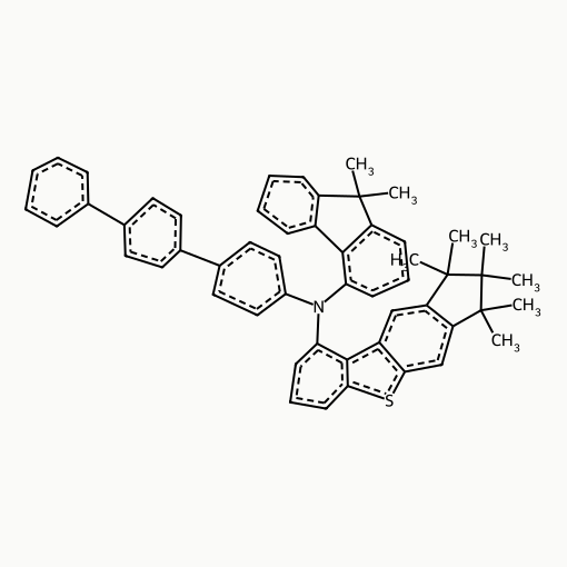 CC1(C)c2ccccc2-c2c(N(c3ccc(-c4ccc(-c5ccccc5)cc4)cc3)c3cccc4sc5cc6c(cc5c34)C(C)(C)C(C)(C)C6(C)C)cccc21